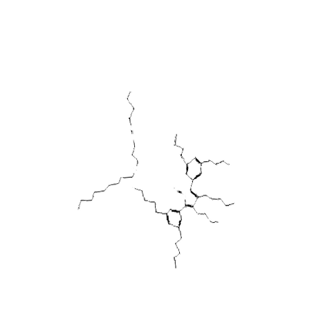 CCCCCC1=C(c2cc(CCCC)cc(CCCC)c2)[N+](=[N-])C(c2cc(CCCCC)cc(CCCCC)c2)=C1CCCC.CCCCCCCC[CH2][Ni][CH2]CCCCCCCC